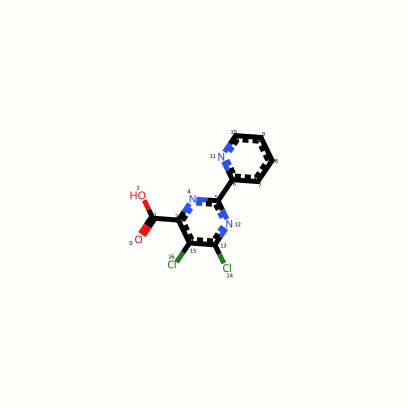 O=C(O)c1nc(-c2ccccn2)nc(Cl)c1Cl